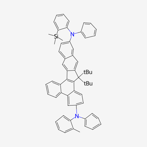 Cc1ccccc1N(c1ccccc1)c1ccc2c3c(c4ccccc4c2c1)-c1cc2ccc(N(c4ccccc4)c4ccccc4[Si](C)(C)C)cc2cc1C3(C(C)(C)C)C(C)(C)C